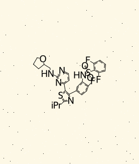 CC(C)c1nc(-c2ccc(F)c(NS(=O)(=O)c3c(F)cccc3F)c2)c(-c2ccnc(NCC3CCCO3)n2)s1